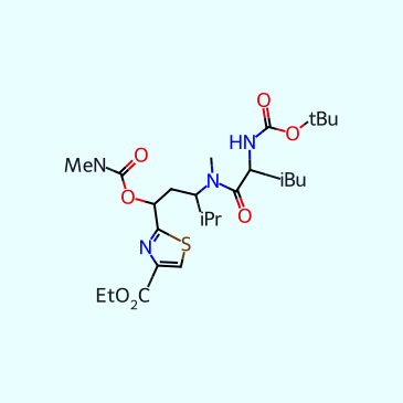 CCOC(=O)c1csc(C(CC(C(C)C)N(C)C(=O)C(NC(=O)OC(C)(C)C)C(C)CC)OC(=O)NC)n1